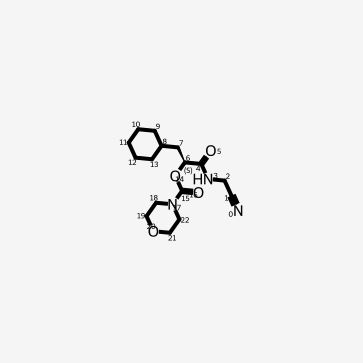 N#CCNC(=O)[C@H](CC1CCCCC1)OC(=O)N1CCOCC1